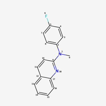 CN(c1ccc(F)cc1)c1ccc2ccccc2n1